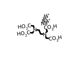 O=C(O)CN(CCN(CC(=O)O)CC(=O)O)CC(=O)O.[H+].[H+].[Na+].[Na+]